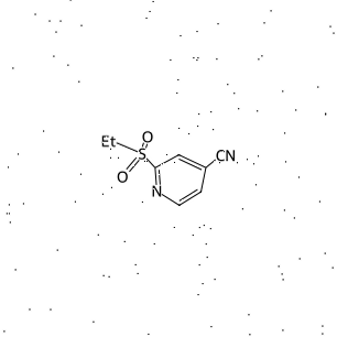 CCS(=O)(=O)c1cc(C#N)ccn1